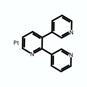 [Pt].c1cncc(-c2cccnc2-c2cccnc2)c1